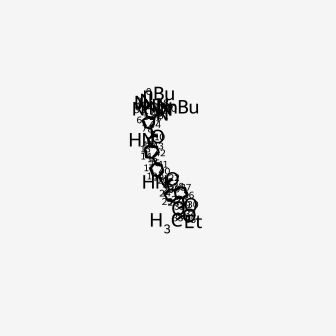 CCCCn1nnc(-c2ccc(C(=O)Nc3ccc(-c4ccc(NC(=O)c5cccc6c(C(=O)OC(C)OCC)cccc56)cc4)cc3)cc2-c2nnn(CCCC)n2)n1